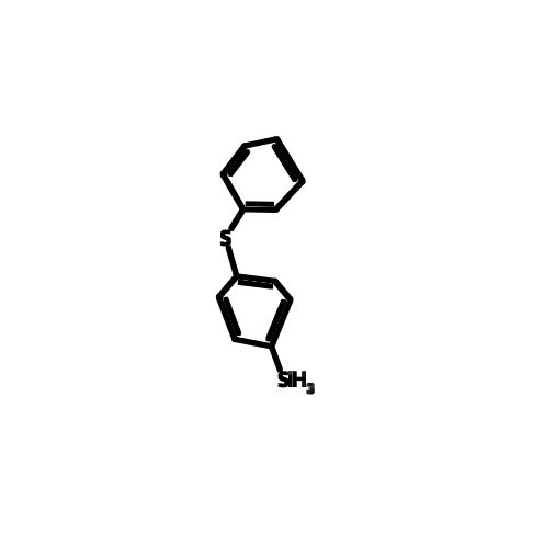 [SiH3]c1ccc(Sc2ccccc2)cc1